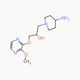 COc1nccnc1OCC(O)CN1CCC(N)CC1